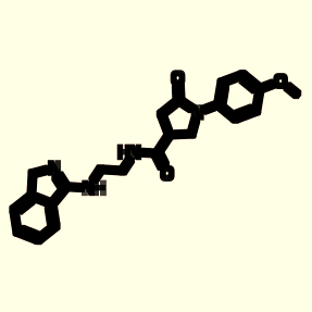 COc1ccc(N2CC(C(=O)NCCNC3=NCc4ccccc43)CC2=O)cc1